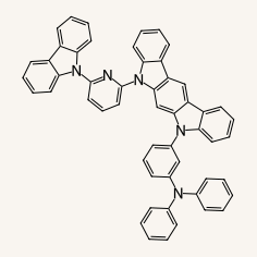 c1ccc(N(c2ccccc2)c2cccc(-n3c4ccccc4c4cc5c6ccccc6n(-c6cccc(-n7c8ccccc8c8ccccc87)n6)c5cc43)c2)cc1